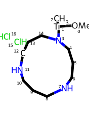 C[O][Ti]([CH3])[N]1CCCNCCCNCCC1.Cl.Cl